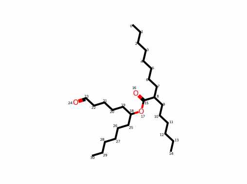 CCCCCCCCC(CCCCCC)C(=O)OC(CCCCC=O)CCCCCC